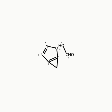 C1c2nnoc21.O=CO